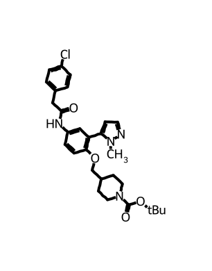 Cn1nccc1-c1cc(NC(=O)Cc2ccc(Cl)cc2)ccc1OCC1CCN(C(=O)OC(C)(C)C)CC1